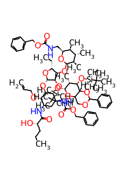 C=CCO[C@@H]1[C@@H](O[C@@H]2O[C@H](CC)[C@@H](O[C@H]3O[C@@H](CNC(=O)OCc4ccccc4)[C@@H](C)[C@H](C)[C@H]3C)[C@H]2O[Si](C)(C)C(C)(C)C)[C@H](O[C@H]2O[C@@H]3COC(c4ccccc4)O[C@H]3[C@H](O[Si](C)(C)C(C)(C)C)[C@H]2C)[C@@H](NC(=O)OCc2ccccc2)C[C@H]1NC(=O)[C@@H](O)CCC